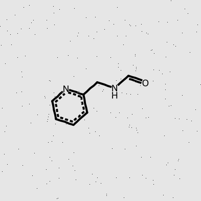 O=CNCc1ccccn1